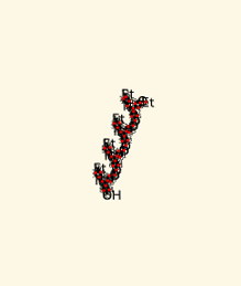 CCOc1ccc(C(=C=Nc2ccc(CC)cc2)c2ccc(OCOc3ccc(C(=C=Nc4ccc(CC)cc4)c4ccc(OCOc5ccc(C(=C=Nc6ccc(CC)cc6)c6ccc(OCOc7ccc(C(=C=Nc8ccc(CC)cc8)c8ccc(O)cc8)cc7)cc6)cc5)cc4)cc3)cc2)cc1